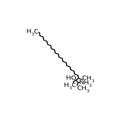 CCCCCCCCCCCCCCCCCCCCCCC(CC)C(O)(CC)C(N)CC